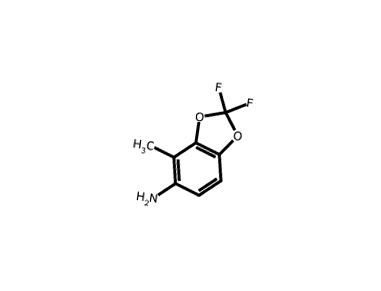 Cc1c(N)ccc2c1OC(F)(F)O2